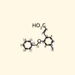 O=C(O)/C=C/c1ccc(I)cc1OCc1ccccc1